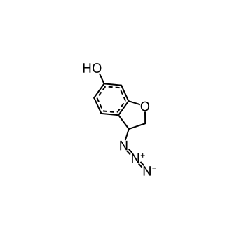 [N-]=[N+]=NC1COc2cc(O)ccc21